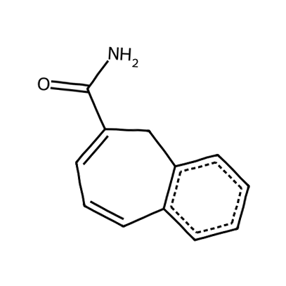 NC(=O)C1=CC=Cc2ccccc2C1